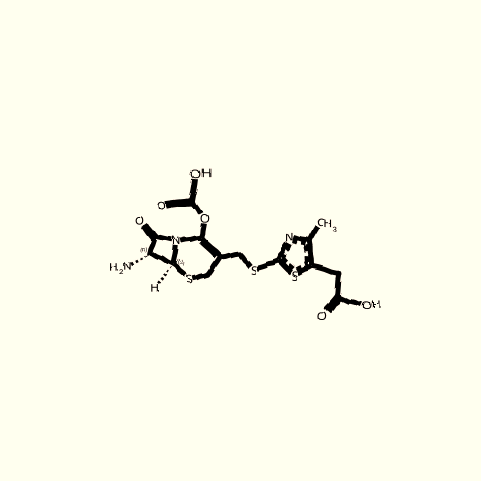 Cc1nc(SCC2=C(OC(=O)O)N3C(=O)[C@@H](N)[C@@H]3SC2)sc1CC(=O)O